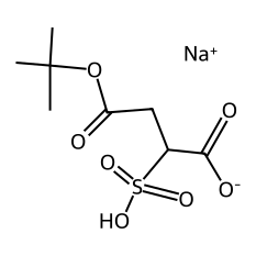 CC(C)(C)OC(=O)CC(C(=O)[O-])S(=O)(=O)O.[Na+]